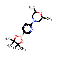 CC1CN(c2ccc(B3OC(C)(C)C(C)(C)O3)cn2)CC(C)O1